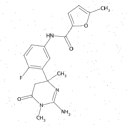 Cc1ccc(C(=O)Nc2ccc(F)c(C3(C)CC(=O)N(C)C(N)=N3)c2)o1